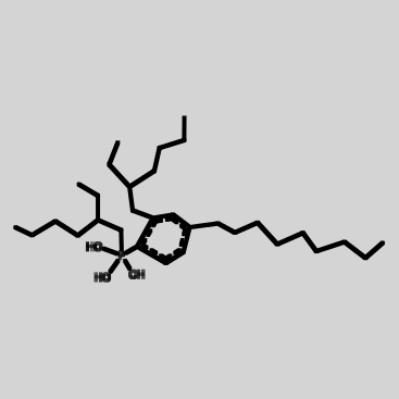 CCCCCCCCCc1ccc(P(O)(O)(O)CC(CC)CCCC)c(CC(CC)CCCC)c1